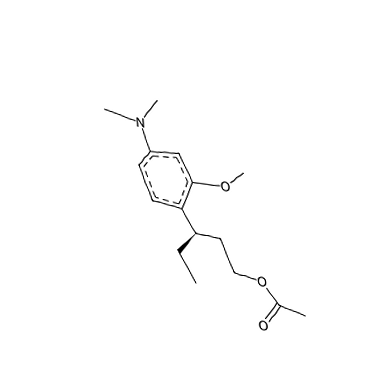 CC[C@H](CCOC(C)=O)c1ccc(N(C)C)cc1OC